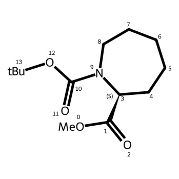 COC(=O)[C@@H]1CCCCCN1C(=O)OC(C)(C)C